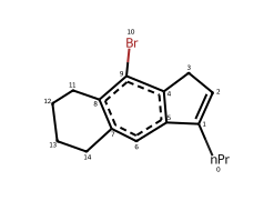 CCCC1=CCc2c1cc1c(c2Br)CCCC1